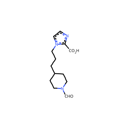 O=CN1CCC(CCCn2ccnc2C(=O)O)CC1